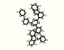 c1ccc(-c2cccc(-c3nc(-c4ccc(-c5ccccc5-n5c6ccccc6c6ccccc65)cc4)nc(-c4cccc5c4sc4ccccc45)n3)c2)cc1